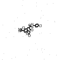 COC(=O)Cn1c(=O)c(C(=O)NCc2ccc(Cl)cc2)cc2c(Cl)c(-c3cnn(C)c3)cnc21